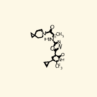 C[C@H](Nc1nnc(-c2cc(C3CC3)c(C(F)(F)F)[nH]c2=O)o1)C(=O)N1CCC2(CC1)CC2